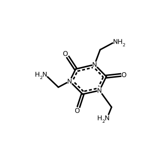 NCn1c(=O)n(CN)c(=O)n(CN)c1=O